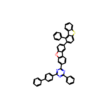 c1ccc(-c2ccc(-c3nc(-c4ccccc4)nc(-c4ccc5c(c4)oc4ccc(-c6ccc7sc8ccccc8c7c6-c6ccccc6)cc45)n3)cc2)cc1